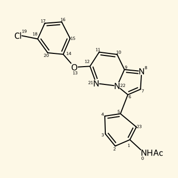 CC(=O)Nc1cccc(-c2cnc3ccc(Oc4cccc(Cl)c4)nn23)c1